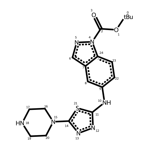 CC(C)(C)OC(=O)n1ncc2cc(Nc3nnc(N4CCNCC4)s3)ccc21